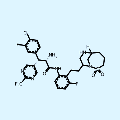 N[C@H](C(=O)Nc1cccc(F)c1CCC1CN[C@@H]2CCCS(=O)(=O)N1C2)[C@H](c1cnc(C(F)(F)F)nc1)c1ccc(Cl)c(F)c1